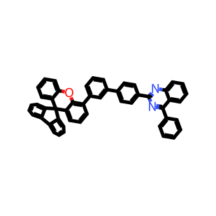 c1ccc(-c2nc(-c3ccc(-c4cccc(-c5cccc6c5Oc5ccccc5C65c6ccccc6-c6ccccc65)c4)cc3)nc3ccccc23)cc1